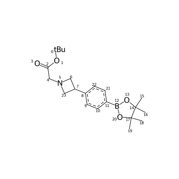 CC(C)(C)OC(=O)CN1CC(c2ccc(B3OC(C)(C)C(C)(C)O3)cc2)C1